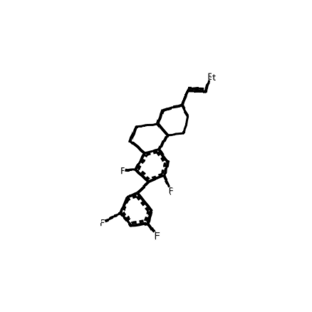 CCC=CC1CCC2c3cc(F)c(-c4cc(F)cc(F)c4)c(F)c3CCC2C1